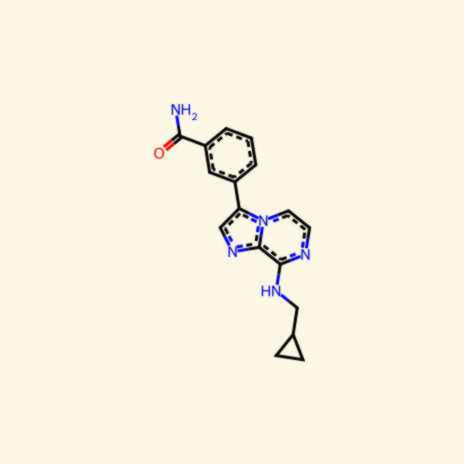 NC(=O)c1cccc(-c2cnc3c(NCC4CC4)nccn23)c1